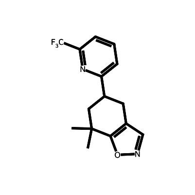 CC1(C)CC(c2cccc(C(F)(F)F)n2)Cc2cnoc21